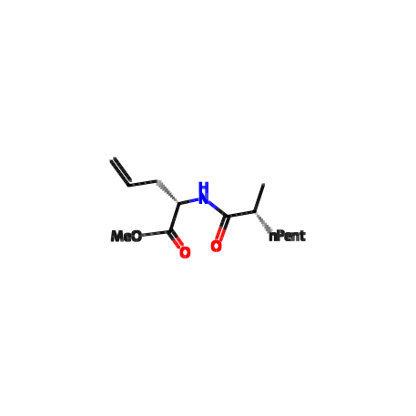 C=CC[C@H](NC(=O)[C@H](C)CCCCC)C(=O)OC